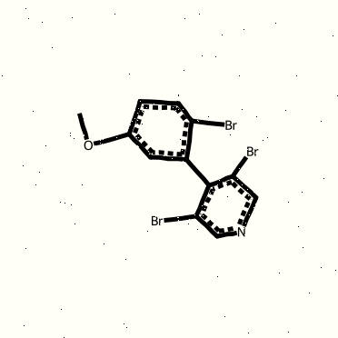 COc1ccc(Br)c(-c2c(Br)cncc2Br)c1